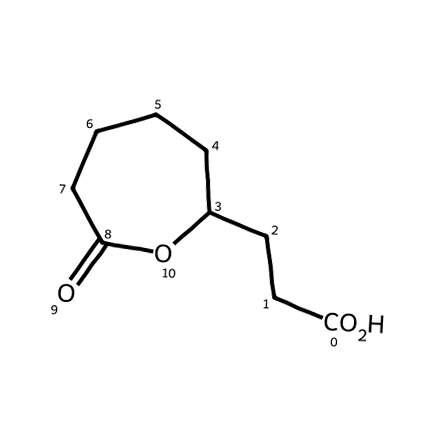 O=C(O)CCC1CCCCC(=O)O1